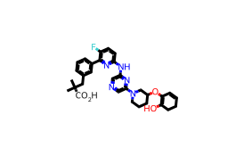 CC(C)(Cc1cccc(-c2nc(Nc3cncc(N4CCCC(OC5=C(O)CCC=C5)C4)n3)ccc2F)c1)C(=O)O